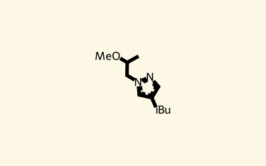 CCC(C)c1cnn(CC(C)OC)c1